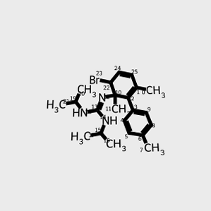 CC1=C(c2ccc(C)cc2)C(C)(N=C(NC(C)C)NC(C)C)C(Br)C=C1